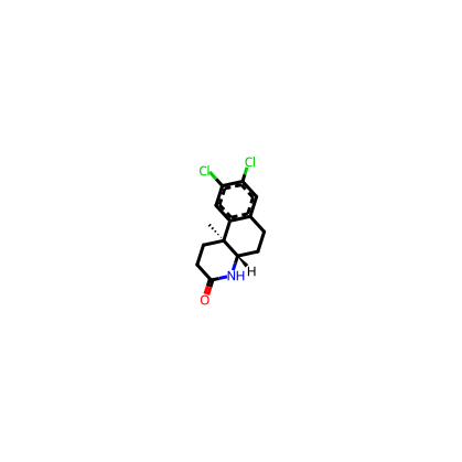 C[C@@]12CCC(=O)N[C@H]1CCc1cc(Cl)c(Cl)cc12